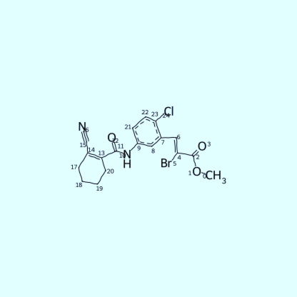 COC(=O)C(Br)=Cc1cc(NC(=O)C2=C(C#N)CCCC2)ccc1Cl